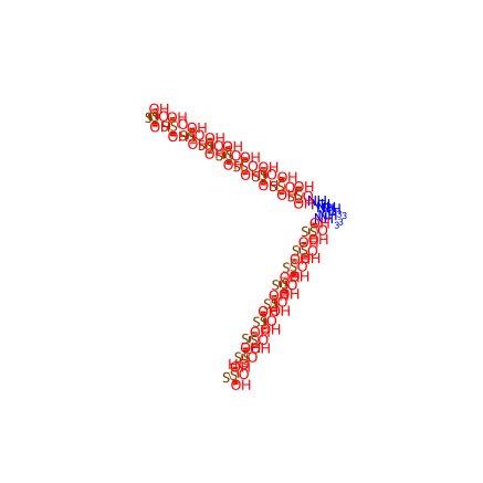 N.N.N.N.N.N.O=S(O)(O)=S.O=S(O)(O)=S.O=S(O)(O)=S.O=S(O)(O)=S.O=S(O)(O)=S.O=S(O)(O)=S.O=S(O)(O)=S.O=S(O)(O)=S.O=S(O)(O)=S.O=S(O)(O)=S.O=S(O)(O)=S.O=S(O)(O)=S.O=S(O)(O)=S.O=S(O)(O)=S.O=S(O)(O)=S.O=S(O)(O)=S.O=S(O)(O)=S.O=S(O)(O)=S